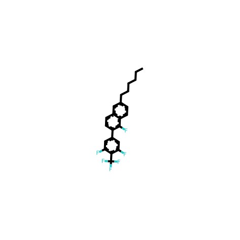 CCCCCCc1ccc2c(F)c(-c3cc(F)c(C(F)(F)F)c(F)c3)ccc2c1